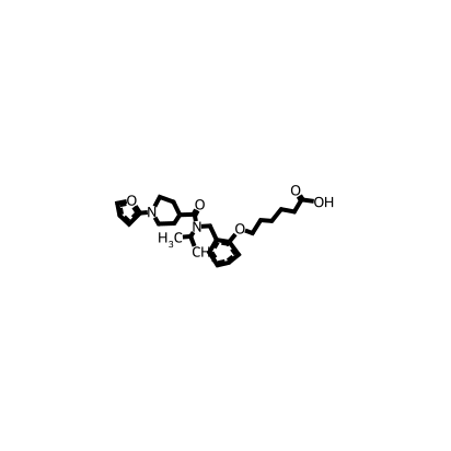 CC(C)N(Cc1ccccc1OCCCCCC(=O)O)C(=O)C1CCN(c2ccco2)CC1